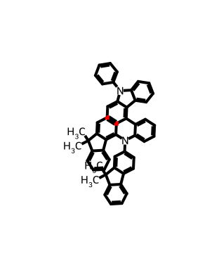 CC1(C)c2ccccc2-c2ccc(N(c3ccccc3-c3cccc4c3c3ccccc3n4-c3ccccc3)c3cccc4c3-c3ccccc3C4(C)C)cc21